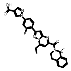 CCc1cc(C(=O)N2CCc3ccccc3[C@H]2C)nc2cc(-c3ccc(-n4cc(C(=O)O)cn4)cc3F)nn12